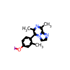 Cc1cc(OI)ccc1-c1c(C)nc(C)c2nccn12